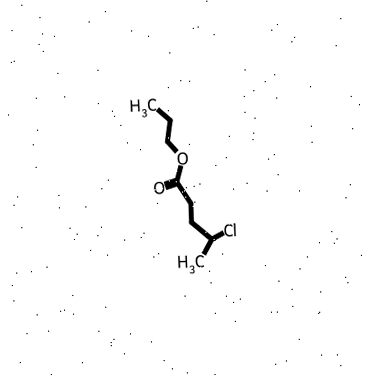 CCCOC(=O)CCC(C)Cl